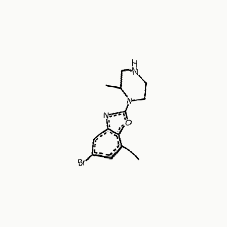 Cc1cc(Br)cc2nc(N3CCNCC3C)oc12